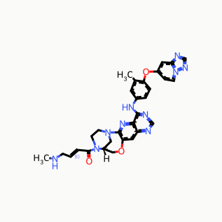 CNC/C=C/C(=O)N1CCN2C[C@@H]1COc1cc3ncnc(Nc4ccc(Oc5ccn6ncnc6c5)c(C)c4)c3nc12